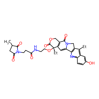 CCc1c2c(nc3ccc(O)cc13)-c1cc3c(c(=O)n1C2)COC(=O)[C@@]3(CC)OCCNC(=O)CCN1C(=O)CC(C)C1=O